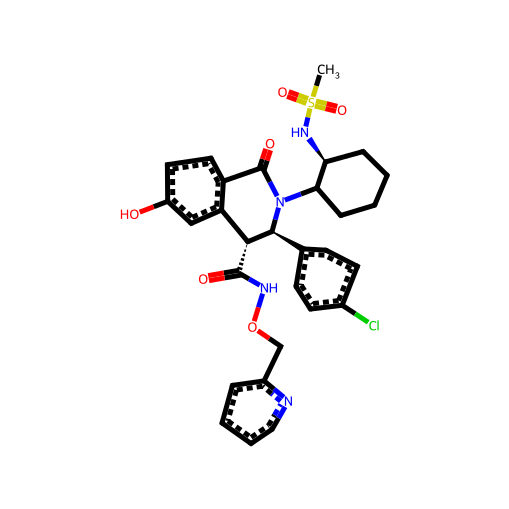 CS(=O)(=O)N[C@H]1CCCCC1N1C(=O)c2ccc(O)cc2[C@@H](C(=O)NOCc2ccccn2)[C@@H]1c1ccc(Cl)cc1